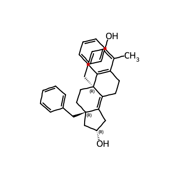 Cc1c(O)ccc2c1CCC1=C3C[C@H](O)C[C@]3(Cc3ccccc3)CC[C@]12Cc1ccccc1